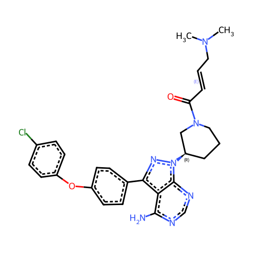 CN(C)C/C=C/C(=O)N1CCC[C@@H](n2nc(-c3ccc(Oc4ccc(Cl)cc4)cc3)c3c(N)ncnc32)C1